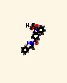 CS(=O)(=O)N1CC2(CCC(C(=O)N[C@@H]3C[C@H]3c3ccccc3)CC2)c2ccccc21